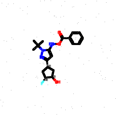 CC(C)(C)n1nc([C@@H]2C[C@@H](O)[C@H](F)C2)cc1NOC(=O)c1ccccc1